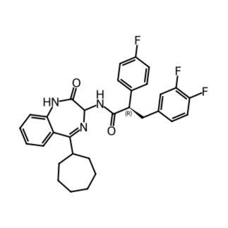 O=C1Nc2ccccc2C(C2CCCCCC2)=NC1NC(=O)[C@H](Cc1ccc(F)c(F)c1)c1ccc(F)cc1